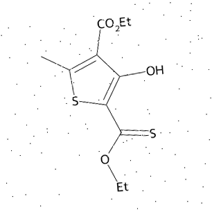 CCOC(=O)c1c(C)sc(C(=S)OCC)c1O